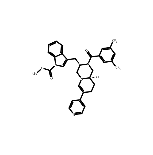 CC(C)(C)OC(=O)n1cc(C[C@@H]2CN3C=C(c4ccncc4)CC[C@@H]3CN2C(=O)c2cc(C(F)(F)F)cc(C(F)(F)F)c2)c2ccccc21